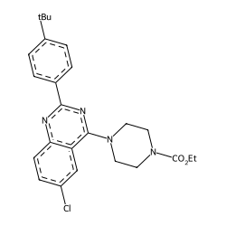 CCOC(=O)N1CCN(c2nc(-c3ccc(C(C)(C)C)cc3)nc3ccc(Cl)cc23)CC1